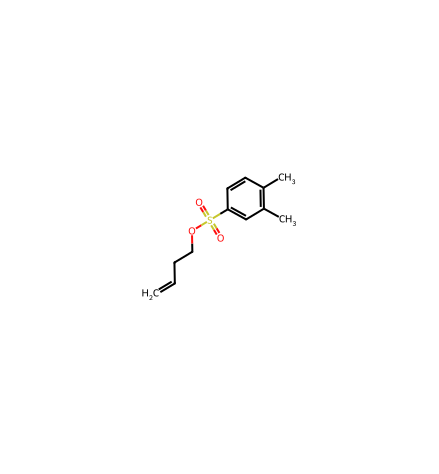 C=CCCOS(=O)(=O)c1ccc(C)c(C)c1